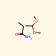 CCC(N)=O.COC(C)OC